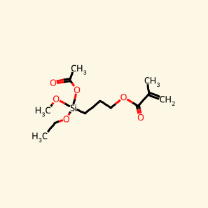 C=C(C)C(=O)OCCC[Si](OC)(OCC)OC(C)=O